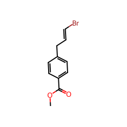 COC(=O)c1ccc(C/C=C/Br)cc1